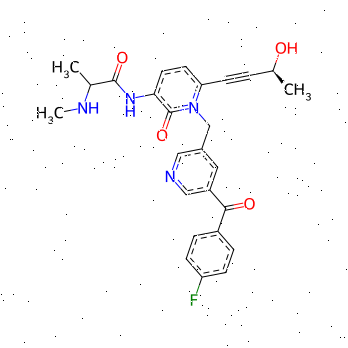 CNC(C)C(=O)Nc1ccc(C#C[C@H](C)O)n(Cc2cncc(C(=O)c3ccc(F)cc3)c2)c1=O